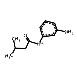 CC(C)CC(=O)Nc1cccc(N)c1